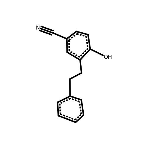 N#Cc1ccc(O)c(CCc2ccccc2)c1